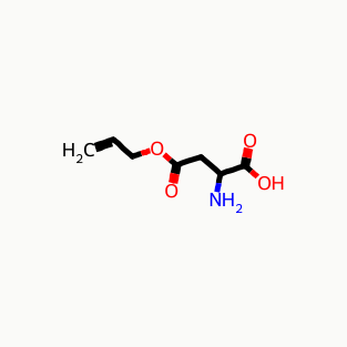 C=CCOC(=O)CC(N)C(=O)O